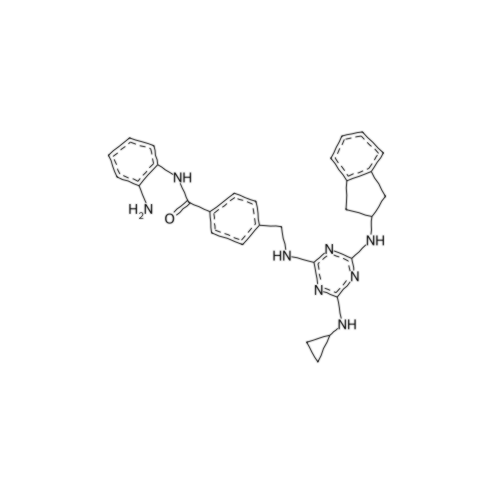 Nc1ccccc1NC(=O)c1ccc(CNc2nc(NC3CC3)nc(NC3Cc4ccccc4C3)n2)cc1